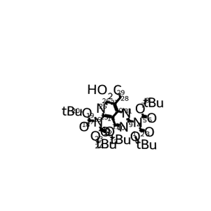 CC(C)(C)OC(=O)N(C(=O)OC(C)(C)C)c1nc(OC(C)(C)C)c2c(N(C(=O)OC(C)(C)C)C(=O)OC(C)(C)C)ncc(CC(=O)O)c2n1